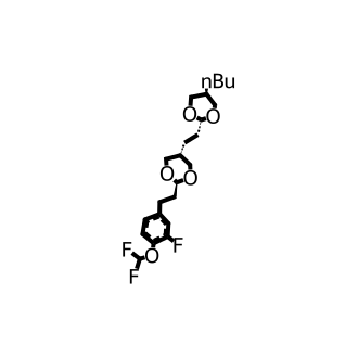 CCCC[C@H]1CO[C@H](CC[C@H]2CO[C@H](CCc3ccc(OC(F)F)c(F)c3)OC2)OC1